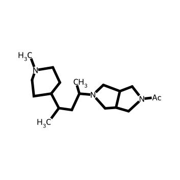 CC(=O)N1CC2CN(C(C)CC(C)C3CCN(C)CC3)CC2C1